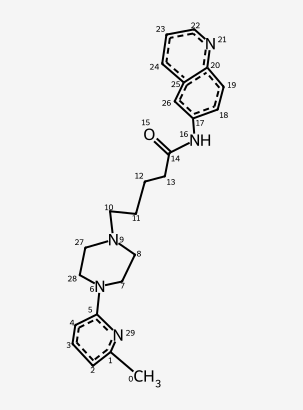 Cc1cccc(N2CCN(CCCCC(=O)Nc3ccc4ncccc4c3)CC2)n1